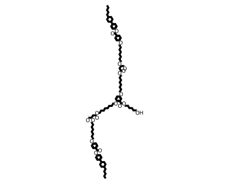 CCCCCC1CCC(c2ccc(OC(=O)c3ccc(OCCCCCCCCOC(C=O)CC(=O)OCCCCCCCCOc4ccc(OCCCCCCCCOC(=O)CC(C=O)OCCCCCCCCOc5ccc(C(=O)Oc6ccc(C7CCC(CCCCC)CC7)cc6)cc5)c(C(=O)OCCCCCCO)c4)cc3)cc2)CC1